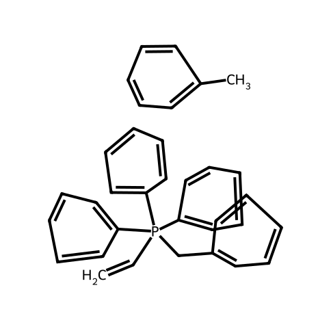 C=CP(Cc1ccccc1)(c1ccccc1)(c1ccccc1)c1ccccc1.Cc1ccccc1